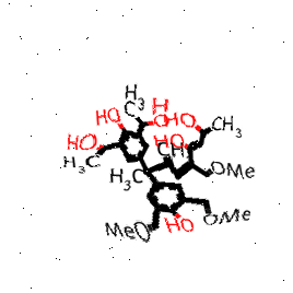 C=C(/C=C(COC)\C(O)=C\C(C)O)C(C)(c1cc(COC)c(O)c(COC)c1)c1cc(C(C)O)c(O)c(C(C)O)c1